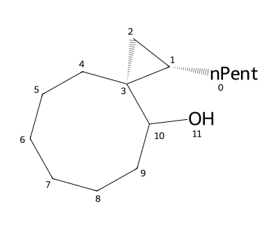 CCCCC[C@H]1C[C@]12CCCCCCC2O